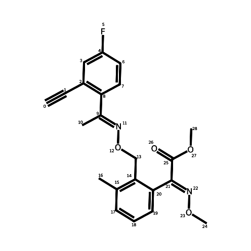 C#Cc1cc(F)ccc1/C(C)=N/OCc1c(C)cccc1/C(=N\OC)C(=O)OC